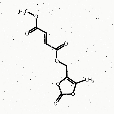 COC(=O)/C=C/C(=O)OCc1oc(=O)oc1C